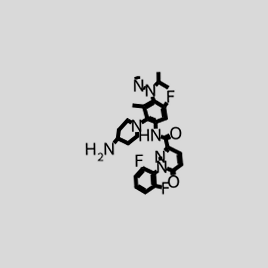 C=NN(c1c(F)cc(NC(=O)c2ccc(=O)n(-c3c(F)cccc3F)n2)c(N2CCC(N)CC2)c1C)C(C)C